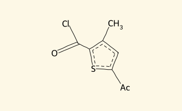 CC(=O)c1cc(C)c(C(=O)Cl)s1